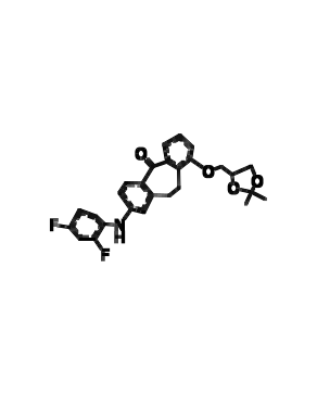 CC1(C)OCC(COc2cccc3c2CCc2cc(Nc4ccc(F)cc4F)ccc2C3=O)O1